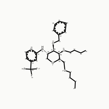 CCCCOC[C@H]1OC[C@H](Nc2cc(C(F)(F)F)ccn2)[C@@H](OCc2ccccc2)[C@H]1OCCCC